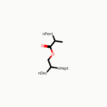 CCCCCCCCCCC(CCCCCCC)COC(=O)C(C)CCCCC